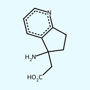 NC1(CC(=O)O)CCc2ncccc21